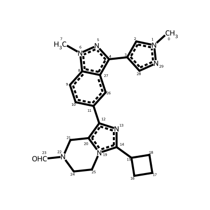 Cn1cc(-c2nn(C)c3ccc(-c4nc(C5CCC5)n5c4CN(C=O)CC5)cc23)cn1